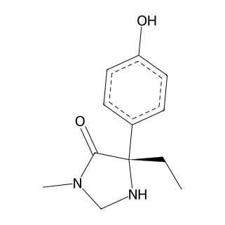 CC[C@@]1(c2ccc(O)cc2)NCN(C)C1=O